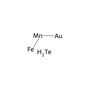 [Fe][Mn][Au].[TeH2]